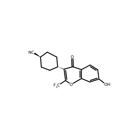 N#C[C@H]1CC[C@H](c2c(C(F)(F)F)oc3cc(O)ccc3c2=O)CC1